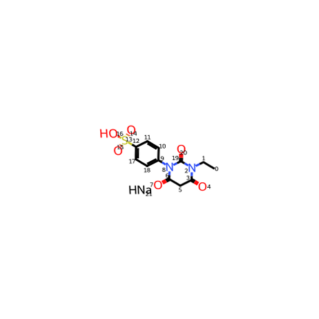 CCN1C(=O)CC(=O)N(c2ccc(S(=O)(=O)O)cc2)C1=O.[NaH]